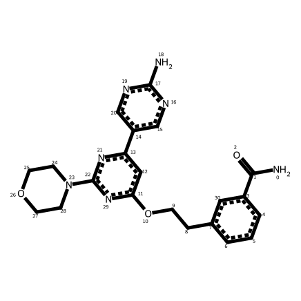 NC(=O)c1cccc(CCOc2cc(-c3cnc(N)nc3)nc(N3CCOCC3)n2)c1